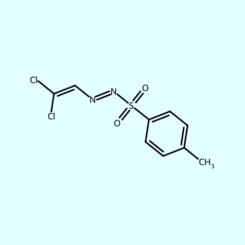 Cc1ccc(S(=O)(=O)N=NC=C(Cl)Cl)cc1